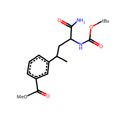 COC(=O)c1cccc(C(C)CC(NC(=O)OC(C)(C)C)C(N)=O)c1